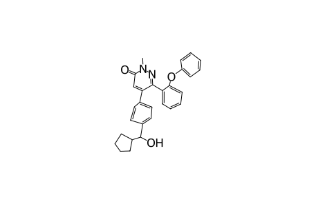 Cn1nc(-c2ccccc2Oc2ccccc2)c(-c2ccc(C(O)C3CCCC3)cc2)cc1=O